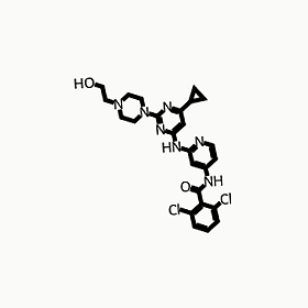 O=C(Nc1ccnc(Nc2cc(C3CC3)nc(N3CCN(CCO)CC3)n2)c1)c1c(Cl)cccc1Cl